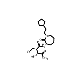 CCC[C@H](C(N)=O)[C@@H](CC(C)C)C(=O)N[C@H]1CCCCN(CCC2CCCC2)C1=O